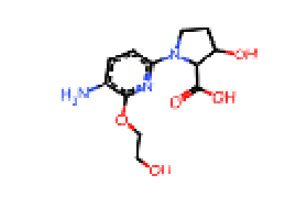 Nc1ccc(N2CCC(O)C2C(=O)O)nc1OCCO